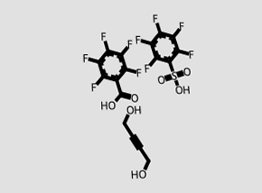 O=C(O)c1c(F)c(F)c(F)c(F)c1F.O=S(=O)(O)c1c(F)c(F)c(F)c(F)c1F.OCC#CCO